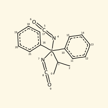 CC(C)I(N=C=O)(N=C=O)(c1ccccc1)c1ccccc1